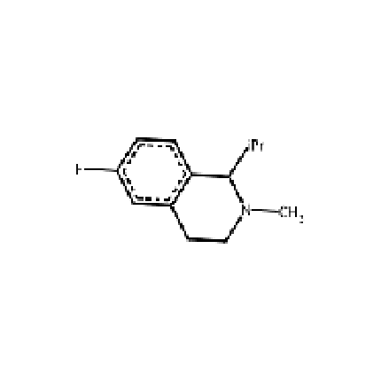 CC(C)C1c2ccc(F)cc2CCN1C